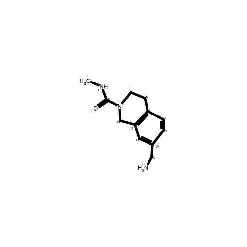 CNC(=O)N1CCc2ccc(CN)cc2C1